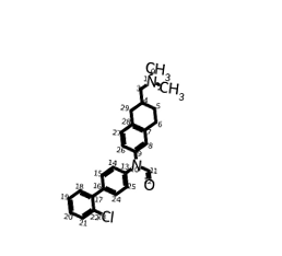 CN(C)CC1CCc2cc(N(C=O)c3ccc(-c4ccccc4Cl)cc3)ccc2C1